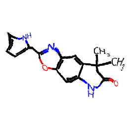 CC1(C)C(=O)Nc2cc3oc(-c4ccc[nH]4)nc3cc21